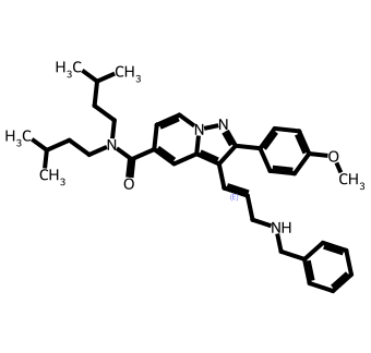 COc1ccc(-c2nn3ccc(C(=O)N(CCC(C)C)CCC(C)C)cc3c2/C=C/CNCc2ccccc2)cc1